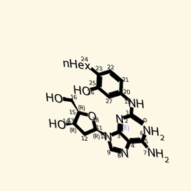 C=C(/N=C1\C(=C(N)N)N=CN1[C@H]1C[C@@H](O)[C@@H](CO)O1)Nc1ccc(CCCCCC)c(O)c1